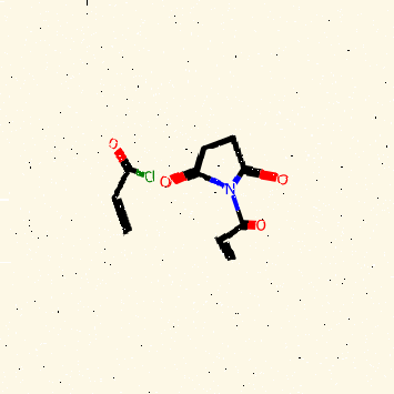 C=CC(=O)Cl.C=CC(=O)N1C(=O)CCC1=O